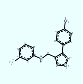 FC(F)(F)c1ccc(-c2n[nH]cc2CNc2cccc(C(F)(F)F)c2)cc1